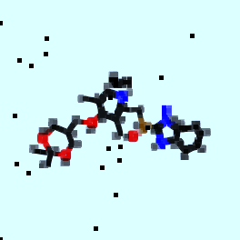 Cc1cnc(C[S@@+]([O-])c2nc3ccccc3[nH]2)c(C)c1OCC1COC(C)(C)OC1.[NaH]